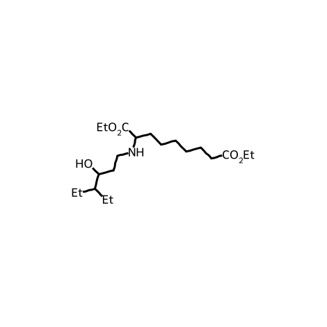 CCOC(=O)CCCCCCC(NCCC(O)C(CC)CC)C(=O)OCC